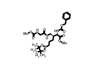 CC(C)(C)OC(=O)NCC(=O)NC[C@H](CCCB1OC(C)(C)C(C)(C)O1)[C@H](NC(=O)OCc1ccccc1)C(=O)OC(C)(C)C